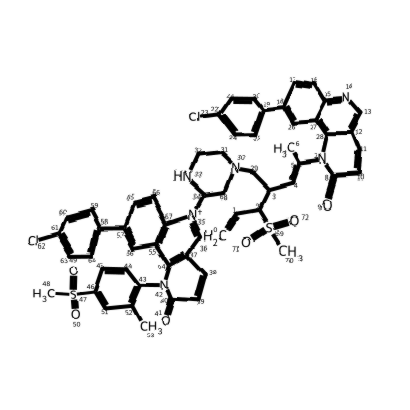 C=CC(C(/C=C(\C)n1c(=O)ccc2cnc3ccc(-c4ccc(Cl)cc4)cc3c21)CN1CCNC([n+]2cc3ccc(=O)n(-c4ccc(S(C)(=O)=O)cc4C)c3c3cc(-c4ccc(Cl)cc4)ccc32)C1)S(C)(=O)=O